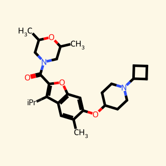 Cc1cc2c(C(C)C)c(C(=O)N3CC(C)OC(C)C3)oc2cc1OC1CCN(C2CCC2)CC1